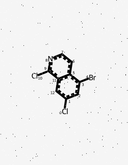 Clc1cc(Br)c2ccnc(Cl)c2c1